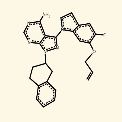 C=CCOc1cc2c(ccn2-c2nn(C3CCc4ccccc4C3)c3ncnc(N)c23)cc1F